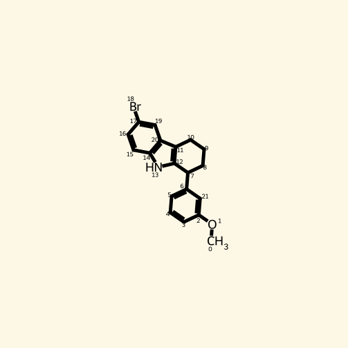 COc1cccc(C2CCCc3c2[nH]c2ccc(Br)cc32)c1